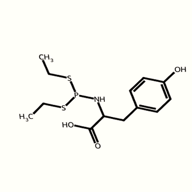 CCSP(NC(Cc1ccc(O)cc1)C(=O)O)SCC